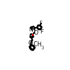 Cc1ccccc1OCC12CC(C1)C(C(=O)N1N=CCC1c1cc(F)cc(F)c1)C2